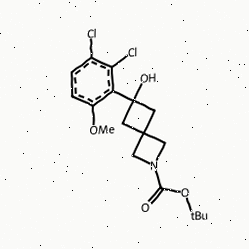 COc1ccc(Cl)c(Cl)c1C1(O)CC2(CN(C(=O)OC(C)(C)C)C2)C1